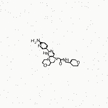 Nc1ccc(C2N=CC3=C(N2)N2CCOCC2CN3CC(=O)NCC2CCOCC2)cn1